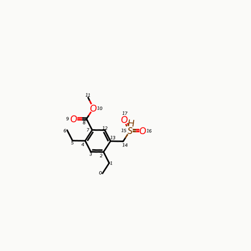 CCc1cc(CC)c(C(=O)OC)cc1C[SH](=O)=O